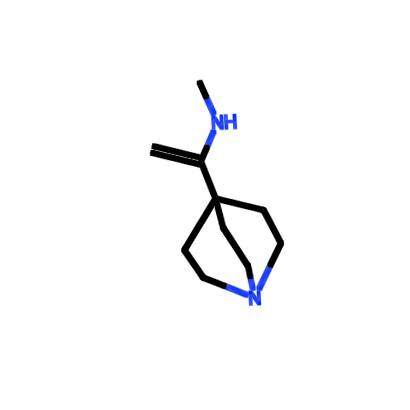 C=C(NC)C12CCN(CC1)CC2